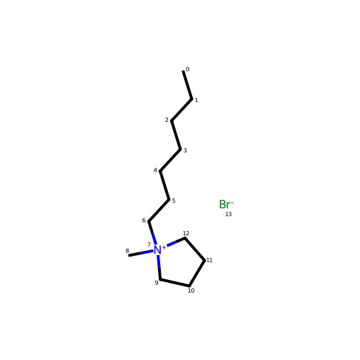 CCCCCCC[N+]1(C)CCCC1.[Br-]